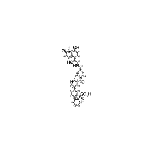 O=C(c1cncc(-c2cccc([C@](O)(C(=O)O)c3ccccc3)c2)c1)N1CCC(CNC[C@H](O)c2ccc(O)c3[nH]c(=O)ccc23)CC1